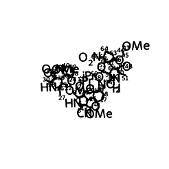 COC(=O)C1=C(C#N)NC(C)=C(C(=O)OC(C)C)C1c1cccc([N+](=O)[O-])c1.COC(=O)C1=C(C)NC(C)=C(C(=O)OC)C1c1ccccc1[N+](=O)[O-].COCCOC(=O)C1=C(C)NC(C)=C(C(=O)OC(C)C)C1c1cccc([N+](=O)[O-])c1